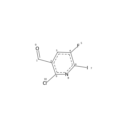 O=Cc1cc(F)c(I)nc1Cl